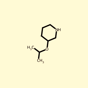 CC(C)OC1[CH]CCNC1